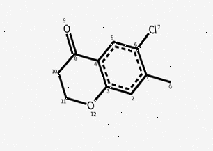 Cc1cc2c(cc1Cl)C(=O)CCO2